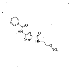 O=C(Nc1nc(C(=O)NCCO[N+](=O)[O-])cs1)c1ccccc1